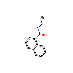 CCC(C)CNC(=O)c1cccc2ccccc12